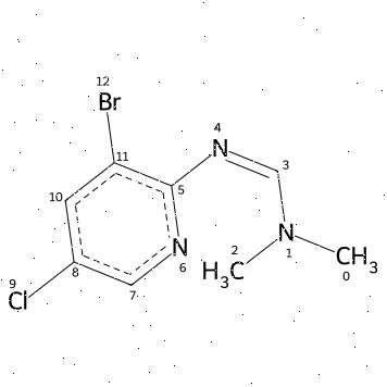 CN(C)/C=N\c1ncc(Cl)cc1Br